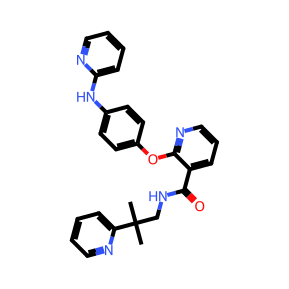 CC(C)(CNC(=O)c1cccnc1Oc1ccc(Nc2ccccn2)cc1)c1ccccn1